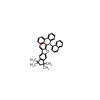 CC1(C)CC(C)(C)c2cc3c(cc21)oc1c(N(c2ccccc2-c2ccccc2)c2cccc4ccccc24)cccc13